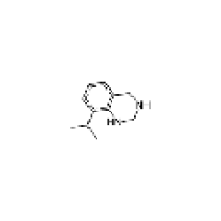 CC(C)c1cccc2c1NCNC2